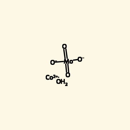 O.[Co+2].[O]=[Mo](=[O])([O-])[O-]